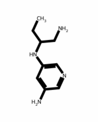 CCC(CN)Nc1cncc(N)c1